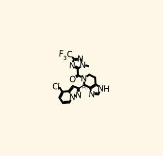 Cn1nc(C(F)(F)F)nc1C(=O)N1CCc2[nH]cnc2[C@H]1c1cc2c(Cl)cccn2n1